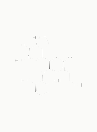 Cc1cccc(C)c1Oc1cn(CCO)c(=O)cc1-c1cn(C)c(=O)c2[nH]ccc12